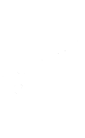 CCOC(OCC)C12CC(c3ccc(-c4cc(F)c5c(c4)C(=O)N(C(C(=O)O)c4ncn6c4CCC6)C5)cc3)(C1)C2